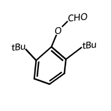 CC(C)(C)c1cccc(C(C)(C)C)c1OC=O